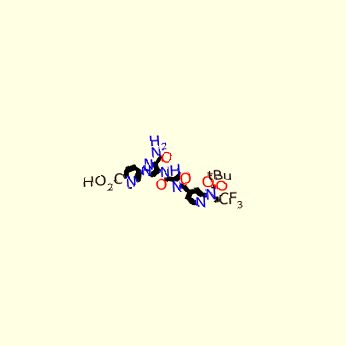 CN1C=C(n2cc(NC(=O)c3coc(-c4ccnc(N(CC(F)(F)F)C(=O)OC(C)(C)C)c4)n3)c(C(N)=O)n2)C=CC1C(=O)O